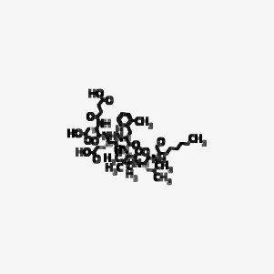 CCCCCCC(C=O)NC(=O)[C@H](CC(C)C)NC(=O)[C@@H](NC(=O)[C@H](Cc1ccccc1C)NC(=O)[C@H](CCC(=O)O)NC(=O)[C@H](CC(=O)O)NC(=O)CCC(=O)O)C(C)(C)C